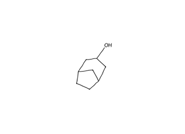 OC1CC2CCC(C1)C2